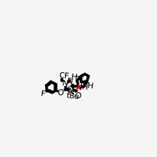 CC(C)(C)OC(=O)N1C[C@H]2CC[C@@H](C1)C2Nc1nc(Oc2cccc(F)c2)n(CC(F)(F)F)n1